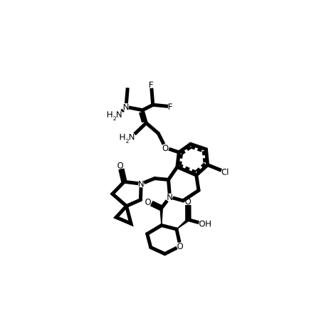 CN(N)/C(=C(\N)COc1ccc(Cl)c2c1C(CN1CC3(CC3)CC1=O)N(C(=O)[C@@H]1CCCO[C@@H]1C(=O)O)CC2)C(F)F